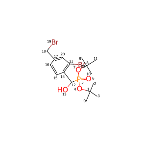 CC(C)(C)OP(=O)(OC(C)(C)C)C(O)c1ccc(CBr)cc1Br